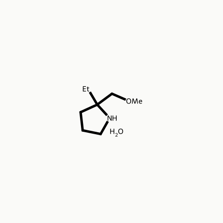 CCC1(COC)CCCN1.O